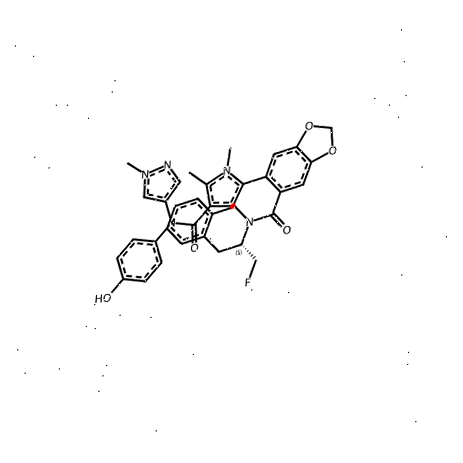 Cc1c(C(=O)N(c2ccc(O)cc2)c2cnn(C)c2)cc(-c2cc3c(cc2C(=O)N2Cc4ccccc4C[C@H]2CF)OCO3)n1C